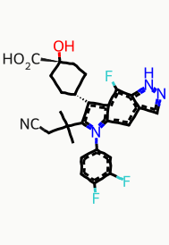 CC(C)(CC#N)c1c([C@H]2CC[C@](O)(C(=O)O)CC2)c2c(F)c3[nH]ncc3cc2n1-c1ccc(F)c(F)c1